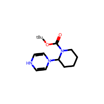 CC(C)(C)OC(=O)N1CCCCC1N1C=CNC=C1